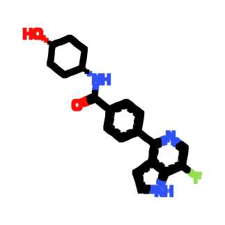 O=C(N[C@H]1CC[C@@H](O)CC1)c1ccc(-c2ncc(F)c3[nH]ccc23)cc1